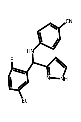 CCc1ccc(F)c(C(Nc2ccc(C#N)cc2)c2cc[nH]n2)c1